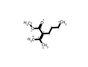 CCCCC(C(=O)OC)=C(C)C